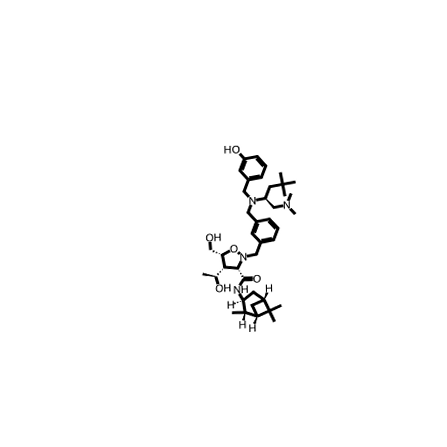 C[C@@H]1[C@@H](NC(=O)[C@@H]2[C@H]([C@H](C)O)[C@H](CO)ON2Cc2cccc(CN(Cc3cccc(O)c3)[C@H](CN(C)C)CC(C)(C)C)c2)C[C@H]2C[C@@H]1C2(C)C